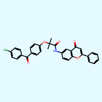 CC(C)(Oc1ccc(C(=O)c2ccc(Cl)cc2)cc1)C(=O)Nc1ccc2oc(-c3ccccc3)cc(=O)c2c1